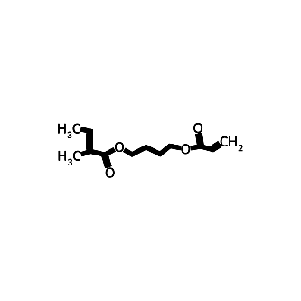 C=CC(=O)OCCCCOC(=O)C(C)=CC